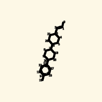 CC=CC1CCC(C2CCC(c3ccc(C)cc3)CC2)CC1